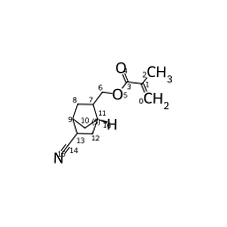 C=C(C)C(=O)OCC1CC2C[C@H]1CC2C#N